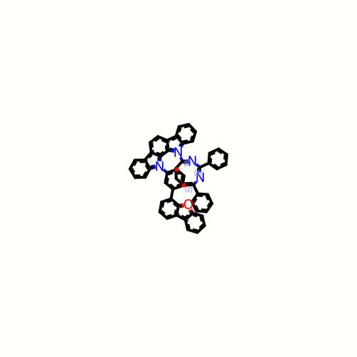 C1=C(c2ccccc2)/N=C(c2ccccc2)\N=C(\n2c3ccccc3c3ccc4c5ccccc5n(-c5cccc(-c6cccc7c6oc6ccccc67)c5)c4c32)CC\1